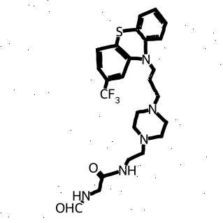 O=CNCC(=O)NCCN1CCN(CCCN2c3ccccc3Sc3ccc(C(F)(F)F)cc32)CC1